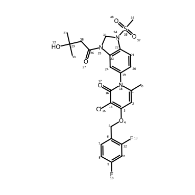 Cc1cc(OCc2ccc(F)cc2F)c(Cl)c(=O)n1-c1ccc2c(c1)N(C(=O)CC(C)(C)O)CN2S(C)(=O)=O